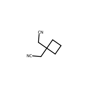 N#CCC1(CC#N)CCC1